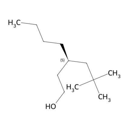 CCCC[C@H](CCO)CC(C)(C)C